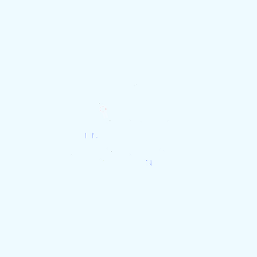 CC(C)SC1=C(C#N)C(c2ccccc2)(c2ccccc2)C(=O)N1